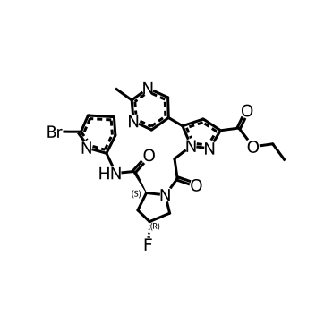 CCOC(=O)c1cc(-c2cnc(C)nc2)n(CC(=O)N2C[C@H](F)C[C@H]2C(=O)Nc2cccc(Br)n2)n1